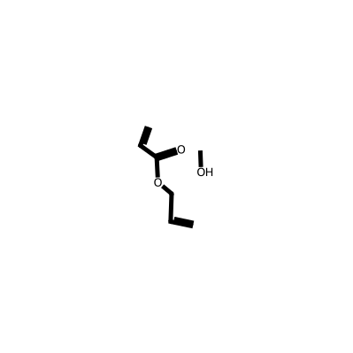 C=CCOC(=O)C=C.CO